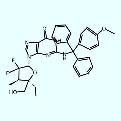 CC[C@@]1(CO)O[C@@H](n2cnc3c(=O)[nH]c(NC(c4ccccc4)(c4ccccc4)c4ccc(OC)cc4)nc32)C(F)(F)[C@@H]1C